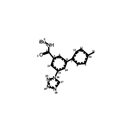 CCC(C)NC(=O)c1cc(-c2ccc(C)cc2)cc(-n2cnnn2)c1